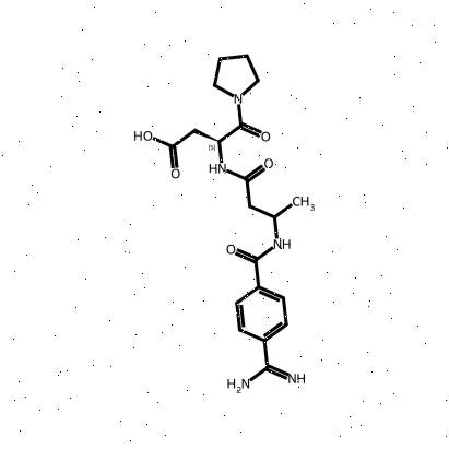 CC(CC(=O)N[C@@H](CC(=O)O)C(=O)N1CCCC1)NC(=O)c1ccc(C(=N)N)cc1